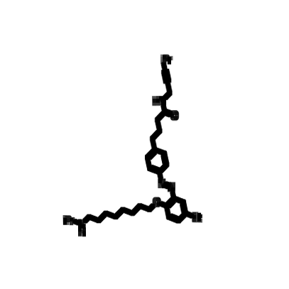 CCc1ccc(OCCCCCCCCNC(C)C)c(/N=N/c2ccc(CCCC(=O)NCC#CC(C)C)cc2)c1